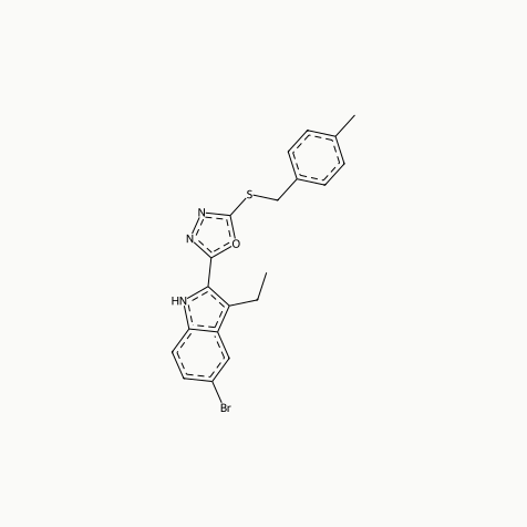 CCc1c(-c2nnc(SCc3ccc(C)cc3)o2)[nH]c2ccc(Br)cc12